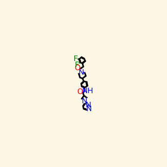 O=C(Nc1ccc(C2CCN(C(=O)Cc3cccc(F)c3F)CC2)cc1)C1CN(c2cccnn2)C1